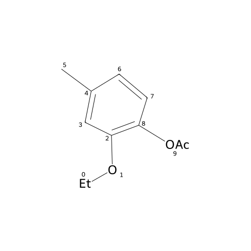 CCOc1cc(C)ccc1OC(C)=O